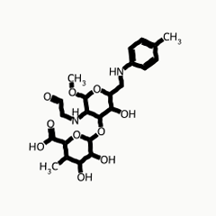 COC1OC(CNc2ccc(C)cc2)C(O)C(OC2OC(C(=O)O)C(C)C(O)C2O)C1NCC=O